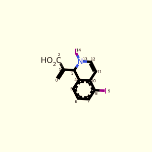 C=C(C(=O)O)C1c2cccc(I)c2C=CN1I